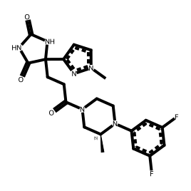 C[C@H]1CN(C(=O)CCC2(c3ccn(C)n3)NC(=O)NC2=O)CCN1c1cc(F)cc(F)c1